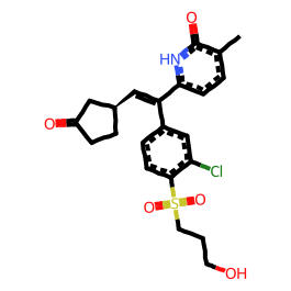 Cc1ccc(/C(=C/[C@H]2CCC(=O)C2)c2ccc(S(=O)(=O)CCCO)c(Cl)c2)[nH]c1=O